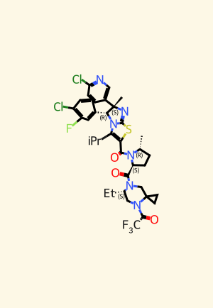 CC[C@H]1CN(C(=O)C(F)(F)F)C2(CC2)CN1C(=O)[C@@H]1CC[C@@H](C)N1C(=O)C1=C(C(C)C)N2C(=N[C@@](C)(c3ccc(Cl)nc3)[C@H]2c2ccc(Cl)c(F)c2)S1